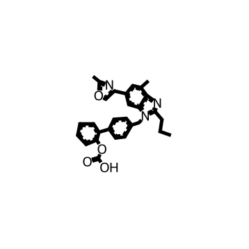 CCCc1nc2c(C)cc(-c3coc(C)n3)cc2n1Cc1ccc(-c2ccccc2OC(=O)O)cc1